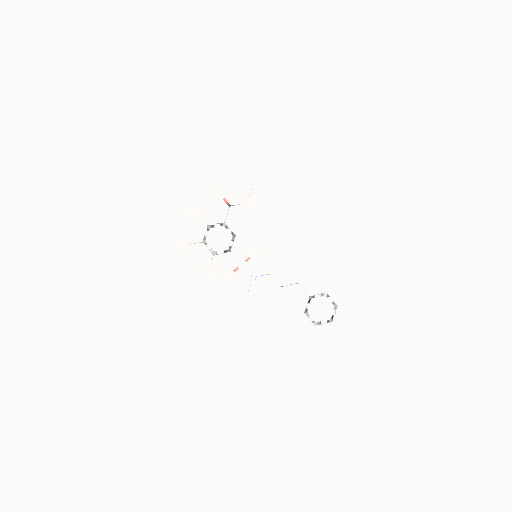 COC(=O)c1cc(S(=O)(=O)N(C)CCCc2ccccc2)c(O)c(O)c1O